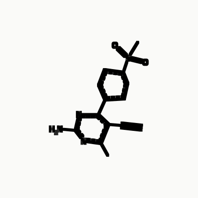 C#Cc1c(C)nc(N)nc1-c1ccc(S(C)(=O)=O)cc1